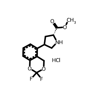 COC(=O)[C@H]1CC(c2cccc3c2COC(F)(F)O3)CN1.Cl